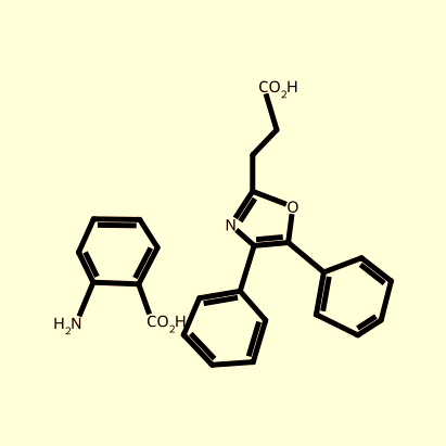 Nc1ccccc1C(=O)O.O=C(O)CCc1nc(-c2ccccc2)c(-c2ccccc2)o1